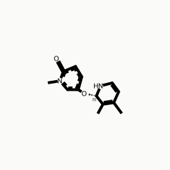 CC1=C(C)[C@H](Oc2ccc(=O)n(C)c2)NC=C1